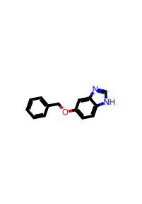 [c]1nc2cc(OCc3ccccc3)ccc2[nH]1